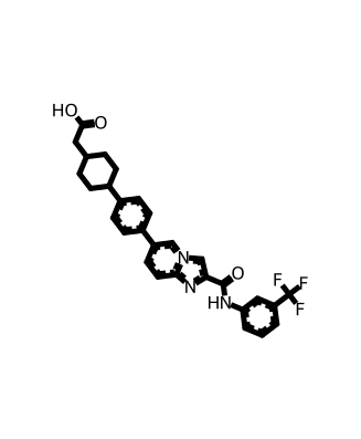 O=C(O)CC1CCC(c2ccc(-c3ccc4nc(C(=O)Nc5cccc(C(F)(F)F)c5)cn4c3)cc2)CC1